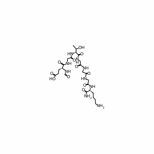 CC(O)[C@H](NC(=O)CNC(=O)[C@H](CCC(=O)O)NC=O)C(=O)NCC(=O)NCC(=O)NCC(=O)N[C@@H](CCCCN)C(N)=O